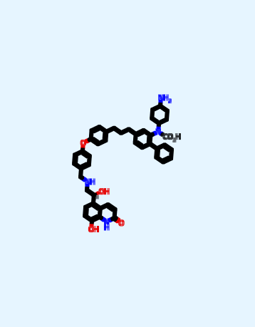 NC1CCC(N(C(=O)O)c2cc(CCCc3ccc(Oc4ccc(CNC[C@@H](O)c5ccc(O)c6[nH]c(=O)ccc56)cc4)cc3)ccc2-c2ccccc2)CC1